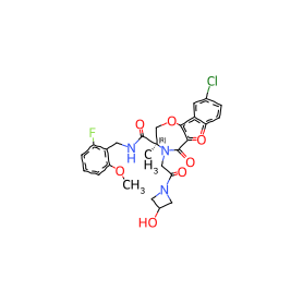 COc1cccc(F)c1CNC(=O)[C@@]1(C)COc2c(oc3ccc(Cl)cc23)C(=O)N1CC(=O)N1CC(O)C1